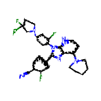 N#Cc1ccc(-c2nc3c(N4CCCCC4)ccnc3n2-c2ccc(N3CCC(F)(F)C3)cc2F)cc1F